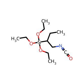 CCO[Si](OCC)(OCC)C(CC)CN=C=O